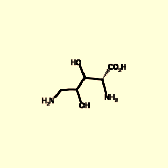 NCC(O)C(O)[C@@H](N)C(=O)O